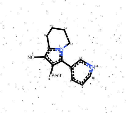 CCCCCc1c(C#N)c2n(c1-c1cccnc1)CCCC2